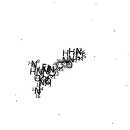 CCn1c(NCCN(C)C)c(C(=O)NCCN(C)C)c(=O)c2ccc(-c3ccc(NC(=O)NCc4cccnc4)cc3)nc21